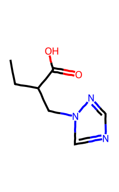 CCC(Cn1cncn1)C(=O)O